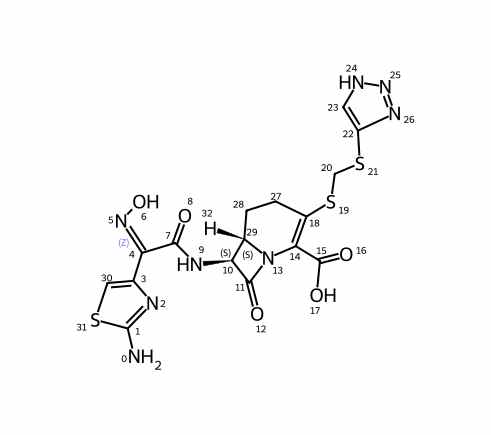 Nc1nc(/C(=N/O)C(=O)N[C@@H]2C(=O)N3C(C(=O)O)=C(SCSc4c[nH]nn4)CC[C@@H]23)cs1